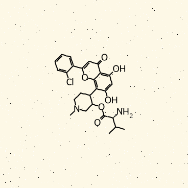 CC(C)[C@H](N)C(=O)OC1CN(C)CCC1c1c(O)cc(O)c2c(=O)cc(-c3ccccc3Cl)oc12